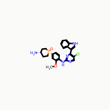 COc1cc([P@]2(=O)CC[C@H](N)CC2)ccc1Nc1ncc(Cl)c(-c2c[nH]c3ccccc23)n1